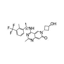 Cc1nc(N[C@H](C)c2cccc(C(F)(F)F)c2C)c2cn([C@H]3C[C@H](O)C3)c(=O)cc2n1